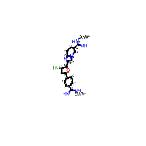 CONC(=N)c1ccc(-c2ccc(-c3cn4cc(C(=N)NOC)ccc4n3)o2)cc1.Cl